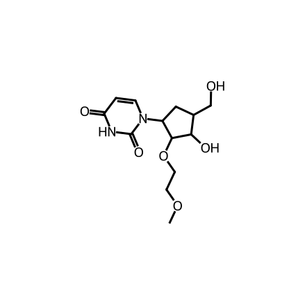 COCCOC1C(O)C(CO)CC1n1ccc(=O)[nH]c1=O